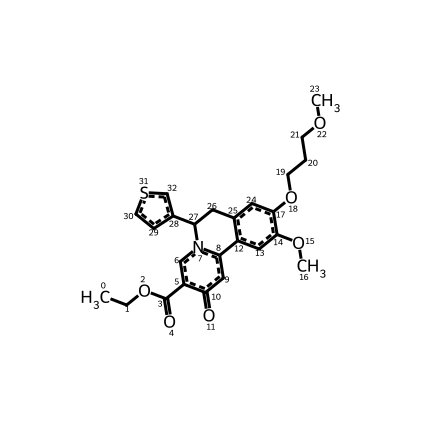 CCOC(=O)c1cn2c(cc1=O)-c1cc(OC)c(OCCCOC)cc1CC2c1ccsc1